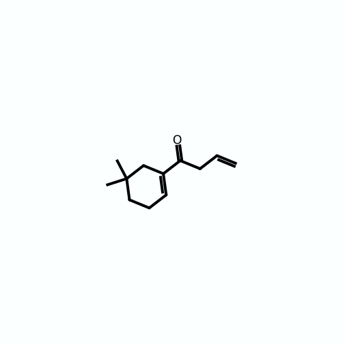 C=CCC(=O)C1=CCCC(C)(C)C1